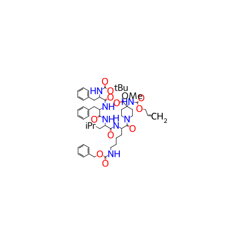 C=CCOC(=O)NC1(C(=O)OC)CCN(C(=O)C(CCCCNC(=O)OCc2ccccc2)NC(=O)C(CC(C)C)NC(=O)C(Cc2ccccc2)NC(=O)C(Cc2ccccc2)NC(=O)OC(C)(C)C)CC1